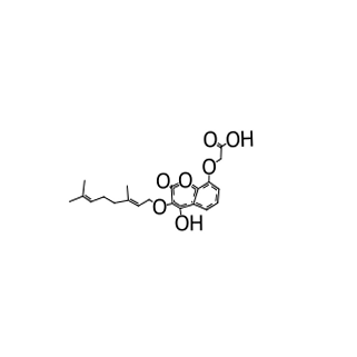 CC(C)=CCC/C(C)=C/COc1c(O)c2cccc(OCC(=O)O)c2oc1=O